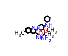 COC1CN(c2nc3ccc(C)cc3cc2C(=N)OC(C)N)CCC1NC1CCCCC1